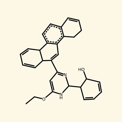 CCOC1=CC(C2=Cc3c(ccc4c3CCC=C4)C3C=CC=CC23)=NC(C2C=CC=CC2O)N1